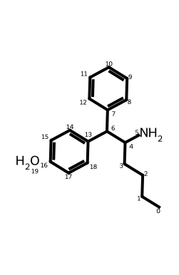 CCCCC(N)C(c1ccccc1)c1ccccc1.O